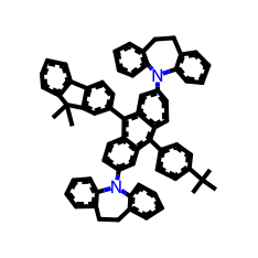 CC(C)(C)c1ccc(-c2c3ccc(N4c5ccccc5CCc5ccccc54)cc3c(-c3ccc4c(c3)C(C)(C)c3ccccc3-4)c3ccc(N4c5ccccc5CCc5ccccc54)cc23)cc1